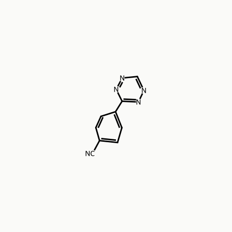 N#Cc1ccc(-c2nncnn2)cc1